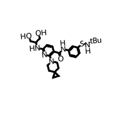 CC(C)(C)NSc1cccc(NC(=O)c2ccc(NC(CO)CO)nc2N2CCC3(CC2)CC3)c1